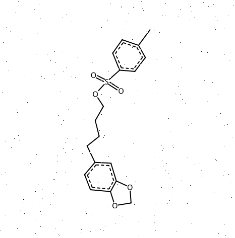 Cc1ccc(S(=O)(=O)OCCCCc2ccc3c(c2)OCO3)cc1